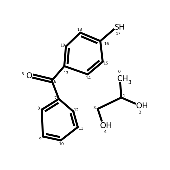 CC(O)CO.O=C(c1ccccc1)c1ccc(S)cc1